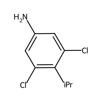 CC(C)c1c(Cl)cc(N)cc1Cl